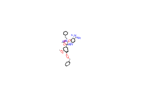 COc1cc([C@](Nc2ccc(C(=N)N)cc2)(OC(C)=O)C(=O)NCCc2ccccc2)ccc1OCc1ccccc1